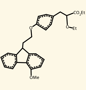 CCOC(=O)C(Cc1ccc(OCCC2c3ccccc3-c3c(OC)cccc32)cc1)OCC